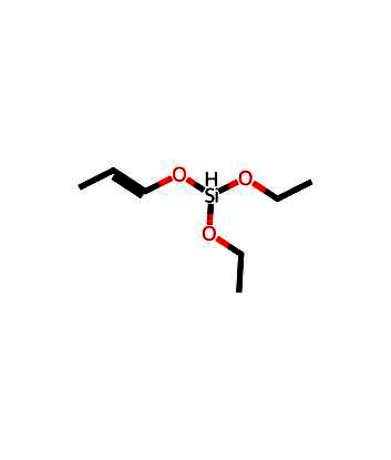 CC=CO[SiH](OCC)OCC